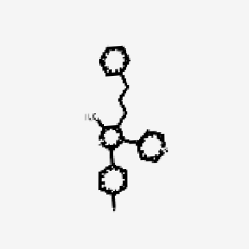 Cc1sc(-c2ccc(F)cc2)c(-c2ccncc2)c1CCCc1ccccc1